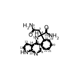 NC(=O)CC(Nc1ncnc2[nH]ccc12)(C(N)=O)c1ccccc1